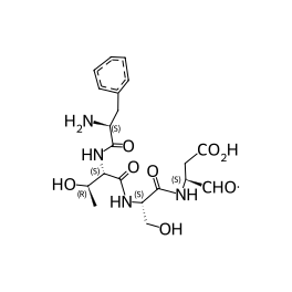 C[C@@H](O)[C@H](NC(=O)[C@@H](N)Cc1ccccc1)C(=O)N[C@@H](CO)C(=O)N[C@H]([C]=O)CC(=O)O